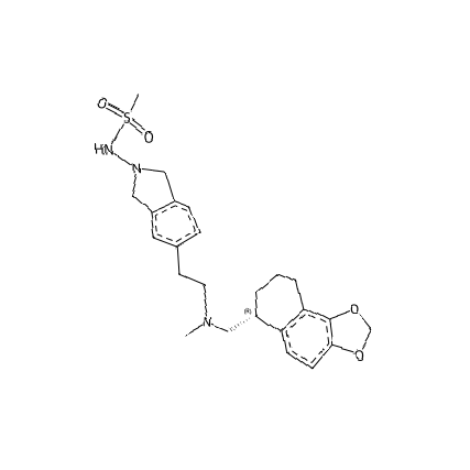 CN(CCc1ccc2c(c1)CN(NS(C)(=O)=O)C2)C[C@@H]1CCCc2c1ccc1c2OCO1